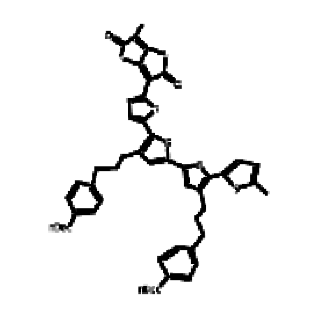 CCCCCCCCCCc1ccc(CCCc2cc(-c3cc(CCCc4ccc(CCCCCCCCCC)cc4)c(-c4ccc(C5=C6SC(=O)C(C)=C6SC5=O)s4)s3)sc2-c2ccc(C)s2)cc1